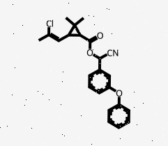 C/C(Cl)=C/C1C(C(=O)OC(C#N)c2cccc(Oc3ccccc3)c2)C1(C)C